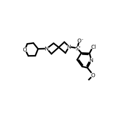 COc1ccc([S+]([O-])N2CC3(CN(C4CCOCC4)C3)C2)c(Cl)n1